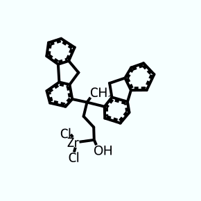 CC(CC[CH](O)[Zr]([Cl])[Cl])(c1cccc2c1Cc1ccccc1-2)c1cccc2c1Cc1ccccc1-2